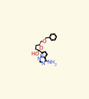 Nc1ncnn2c(C3(O)CC[C@@H](COCc4ccccc4)O3)ccc12